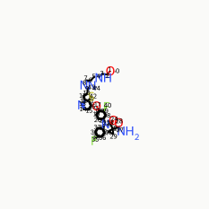 COCCNCc1cnc(-c2cc3nccc(Oc4ccc(N(C(=O)C5(C(N)=O)CC5)c5ccc(F)cc5)cc4F)c3s2)n1C